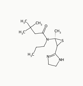 CCCN(C(=O)CC(C)(C)C)[C@@]1(C)SC1C1=NCCN1